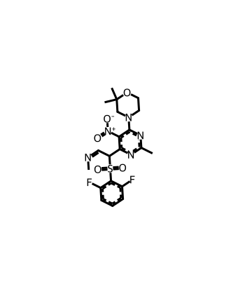 C/N=C\C(c1nc(C)nc(N2CCOC(C)(C)C2)c1[N+](=O)[O-])S(=O)(=O)c1c(F)cccc1F